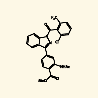 COC(=O)c1ccc(-c2nn(C(=O)c3c(Cl)cccc3C(F)(F)F)c3ccccc23)cc1NC(C)=O